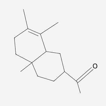 CC(=O)C1CCC2(C)CCC(C)=C(C)C2C1